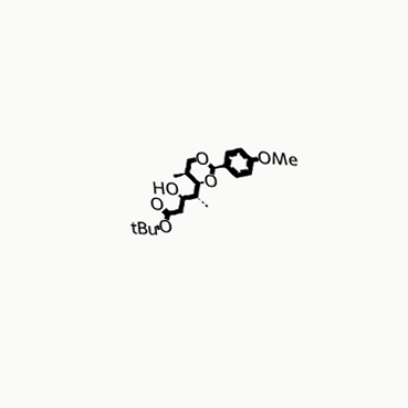 COc1ccc([C@@H]2OC[C@H](C)[C@@H]([C@H](C)[C@H](O)CC(=O)OC(C)(C)C)O2)cc1